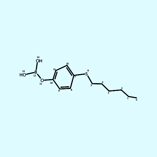 CCCCCCSc1ccc(OB(O)O)cc1